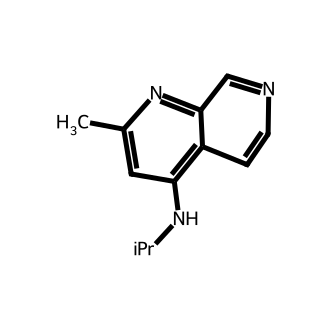 Cc1cc(NC(C)C)c2ccncc2n1